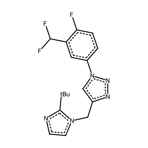 CC(C)(C)c1nccn1Cc1cn(-c2ccc(F)c(C(F)F)c2)nn1